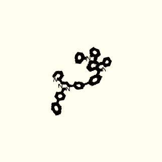 c1ccc(-c2ccc(-c3nc(-c4ccc(-c5cccc(-c6nc7ccccc7c7c6ccc6c7c7ccccc7n6-c6ccccc6)c5)cc4)cc(-c4ccccn4)n3)cc2)cc1